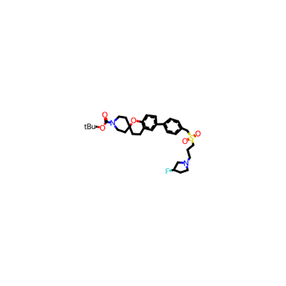 CC(C)(C)OC(=O)N1CCC2(CCc3cc(-c4ccc(CS(=O)(=O)CCCN5CCC(F)C5)cc4)ccc3O2)CC1